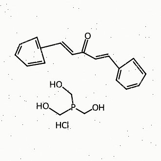 Cl.O=C(C=Cc1ccccc1)C=Cc1ccccc1.OCP(CO)CO